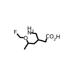 CC(CC(CN)CC(=O)O)OCF